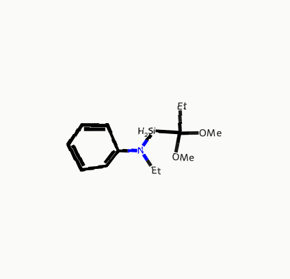 CCN([SiH2]C(CC)(OC)OC)c1ccccc1